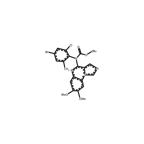 COc1cc2nc(N(C(=O)OC(C)(C)C)c3c(C)cc(Br)cc3Cl)c3cncn3c2cc1OC